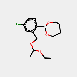 CCOC(C)OCc1cc(F)ccc1B1OCCCCO1